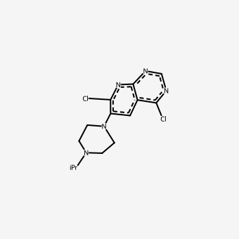 CC(C)N1CCN(c2cc3c(Cl)ncnc3nc2Cl)CC1